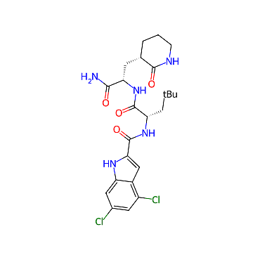 CC(C)(C)C[C@H](NC(=O)c1cc2c(Cl)cc(Cl)cc2[nH]1)C(=O)N[C@@H](C[C@@H]1CCCNC1=O)C(N)=O